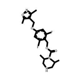 Cc1noc(C)c1COc1cc(F)c(COC(=O)N2C(C)CNCC2C)c(F)c1